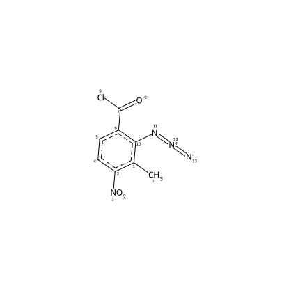 Cc1c([N+](=O)[O-])ccc(C(=O)Cl)c1N=[N+]=[N-]